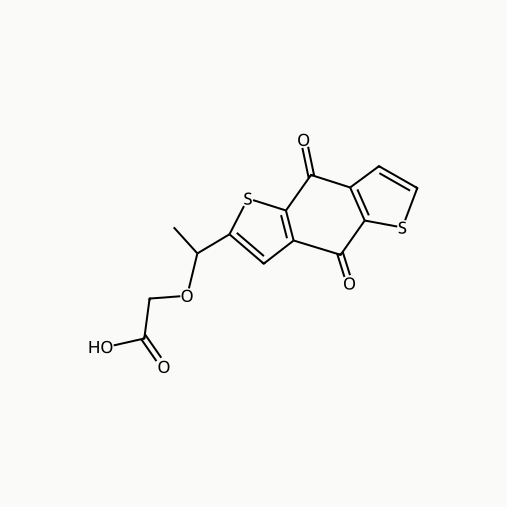 CC(OCC(=O)O)c1cc2c(s1)C(=O)c1ccsc1C2=O